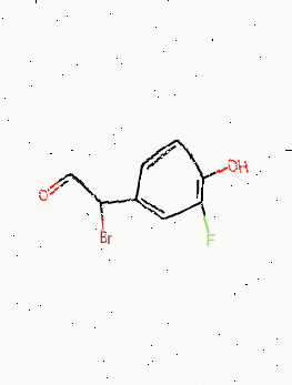 O=CC(Br)c1ccc(O)c(F)c1